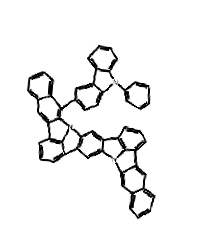 c1ccc(-n2c3ccccc3c3cc(-c4c5ccccc5cc5c6cccc7c8cc9c(cc8n(c45)c76)c4cccc5c6cc7ccccc7cc6n9c54)ccc32)cc1